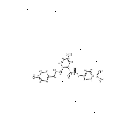 O=C(O)c1ccc(CNC(=O)c2cc(Cl)ccc2OCCc2ccc(Cl)cc2)cc1